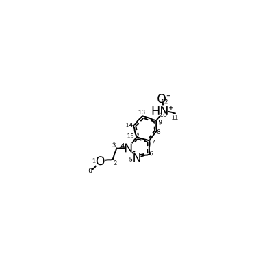 COCCn1ncc2cc([NH+](C)[O-])ccc21